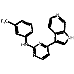 FC(F)(F)c1cccc(Nc2nccc(-c3c[nH]c4cnccc34)n2)c1